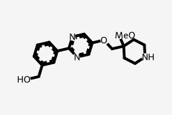 COC1(COc2cnc(-c3cccc(CO)c3)nc2)CCNCC1